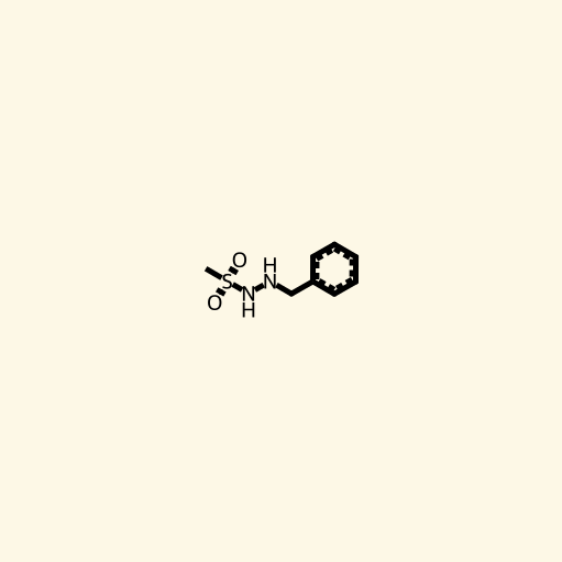 CS(=O)(=O)NNCc1ccccc1